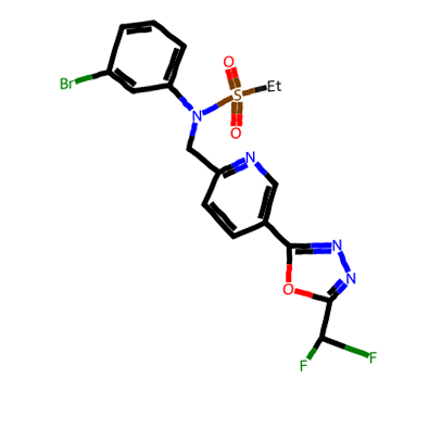 CCS(=O)(=O)N(Cc1ccc(-c2nnc(C(F)F)o2)cn1)c1cccc(Br)c1